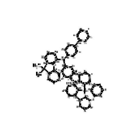 CC1(C)c2ccccc2-c2c(N(c3ccc(-c4ccccc4)cc3)c3ccc4sc5c(C6(c7ccccc7)c7ccccc7-c7ccccc76)cccc5c4c3)cccc21